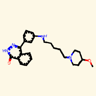 COC1CCN(CCCCCNc2cccc(-c3n[nH]c(=O)c4ccccc34)c2)CC1